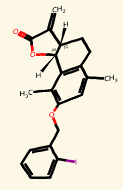 C=C1C(=O)O[C@H]2c3c(C)c(OCc4ccccc4I)cc(C)c3CC[C@@H]12